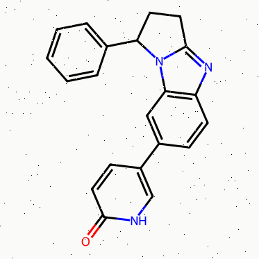 O=c1ccc(-c2ccc3nc4n(c3c2)C(c2ccccc2)CC4)c[nH]1